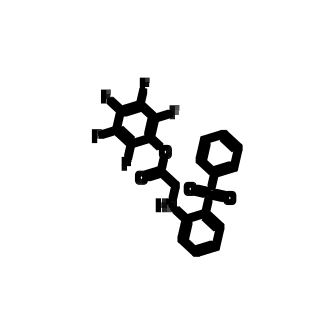 O=C(CNc1ccccc1S(=O)(=O)c1ccccc1)Oc1c(F)c(F)c(F)c(F)c1F